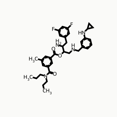 CCCN(CCC)C(=O)c1cc(C)cc(C(=O)OC(CNCc2cccc(NC3CC3)c2)C(N)Cc2cc(F)cc(F)c2)c1